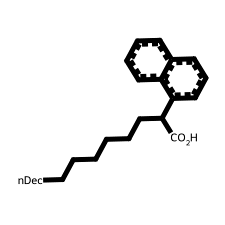 CCCCCCCCCCCCCCCCC(C(=O)O)c1cccc2ccccc12